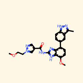 COCCn1cc(C(=O)Nc2nc3c(-c4ccc5[nH]nc(C)c5c4)ccc(OC)c3[nH]2)cn1